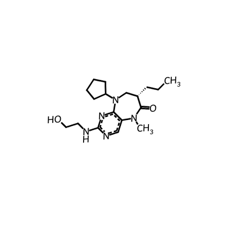 CCC[C@H]1CN(C2CCCC2)c2nc(NCCO)ncc2N(C)C1=O